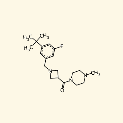 CN1CCN(C(=O)C2CN(Cc3cc(F)cc(C(C)(C)C)c3)C2)CC1